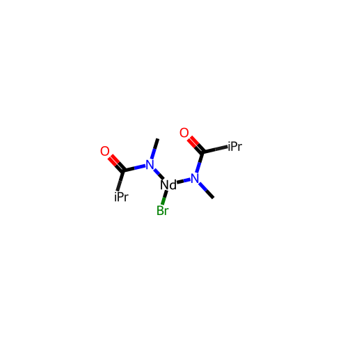 CC(C)C(=O)[N](C)[Nd]([Br])[N](C)C(=O)C(C)C